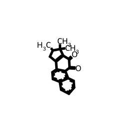 CC1CC2=C(C(=O)C(=O)c3c2ccc2ccccc32)C1(C)C